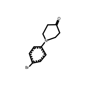 O=C1CCN(c2ccc(Br)cc2)CC1